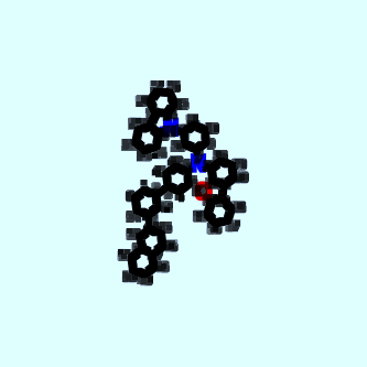 c1cc(-c2ccc(N(c3cccc(-n4c5ccccc5c5ccccc54)c3)c3cccc4c3oc3ccccc34)cc2)cc(-c2ccc3ccccc3c2)c1